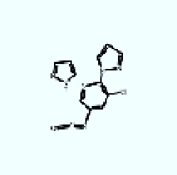 O=C=Nc1cnc(-n2cccn2)c(Cl)c1.c1cn[nH]c1